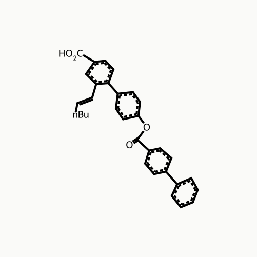 CCCCC=Cc1cc(C(=O)O)ccc1-c1ccc(OC(=O)c2ccc(-c3ccccc3)cc2)cc1